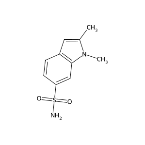 Cc1cc2ccc(S(N)(=O)=O)cc2n1C